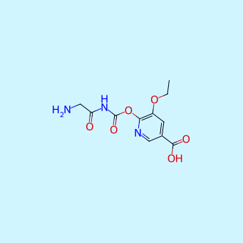 CCOc1cc(C(=O)O)cnc1OC(=O)NC(=O)CN